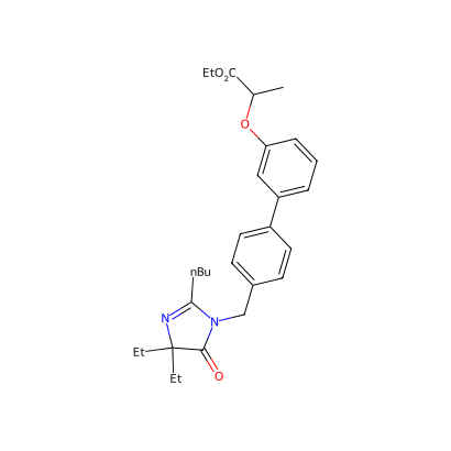 CCCCC1=NC(CC)(CC)C(=O)N1Cc1ccc(-c2cccc(OC(C)C(=O)OCC)c2)cc1